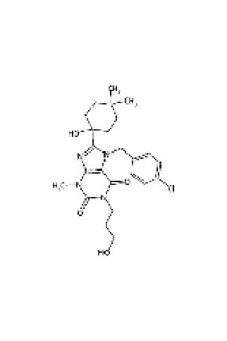 Cn1c(=O)n(CCCO)c(=O)c2c1nc(C1(O)CCC(C)(C)CC1)n2Cc1ccc(Cl)cc1